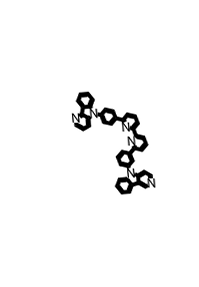 c1cc(-c2cccc(-c3cccc(-c4ccc(-n5c6ccccc6c6ncccc65)cc4)n3)n2)cc(-n2c3ccccc3c3cnccc32)c1